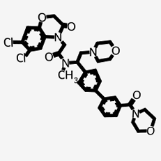 CN(C(=O)CN1C(=O)COc2cc(Cl)c(Cl)cc21)C(CN1CCOCC1)c1ccc(-c2cccc(C(=O)N3CCOCC3)c2)cc1